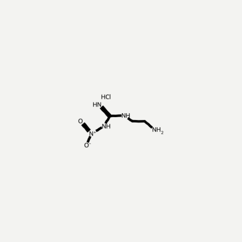 Cl.N=C(NCCN)N[N+](=O)[O-]